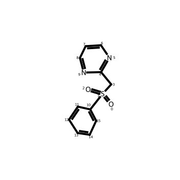 O=S(=O)(Cc1ncccn1)c1[c]cccc1